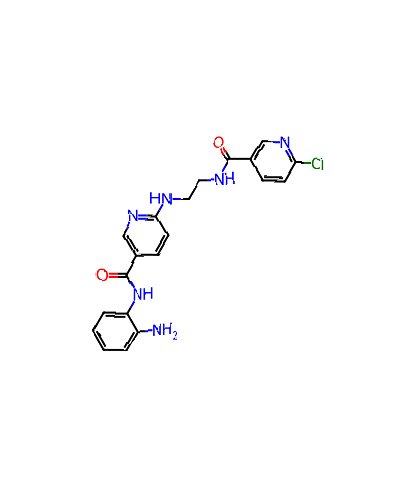 Nc1ccccc1NC(=O)c1ccc(NCCNC(=O)c2ccc(Cl)nc2)nc1